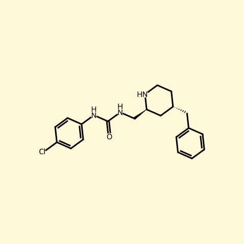 O=C(NC[C@@H]1C[C@@H](Cc2ccccc2)CCN1)Nc1ccc(Cl)cc1